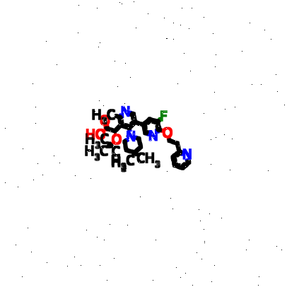 Cc1ncc(-c2cnc(OCCc3ccccn3)c(F)c2)c(N2CCC(C)(C)CC2)c1[C@H](OC(C)(C)C)C(=O)O